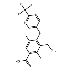 CCc1c(F)c(C(=O)O)cc(F)c1Oc1cnc(C(F)(F)F)nc1